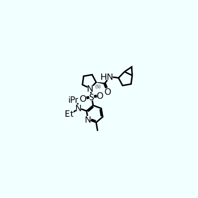 CCN(c1nc(C)ccc1S(=O)(=O)N1CCC[C@H]1C(=O)NC1CCC2CC21)C(C)C